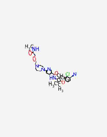 CNC(=O)COCCN1CCCN(c2ccc(C(=O)NC3C(C)(C)C(Oc4ccc(C#N)c(Cl)c4)C3(C)C)cn2)CC1